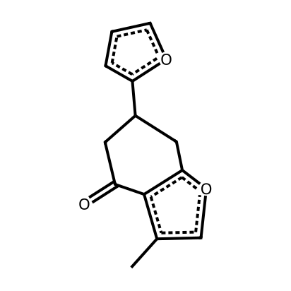 Cc1coc2c1C(=O)CC(c1ccco1)C2